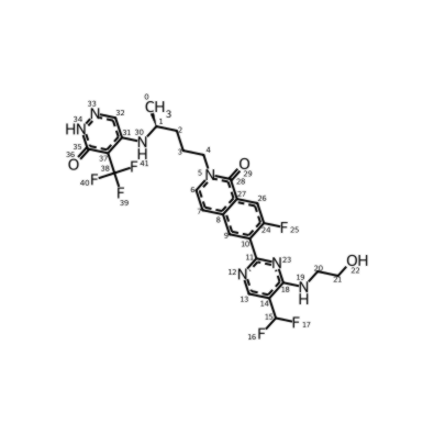 C[C@@H](CCCn1ccc2cc(-c3ncc(C(F)F)c(NCCO)n3)c(F)cc2c1=O)Nc1cn[nH]c(=O)c1C(F)(F)F